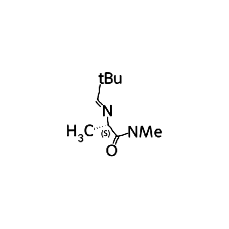 CNC(=O)[C@H](C)N=CC(C)(C)C